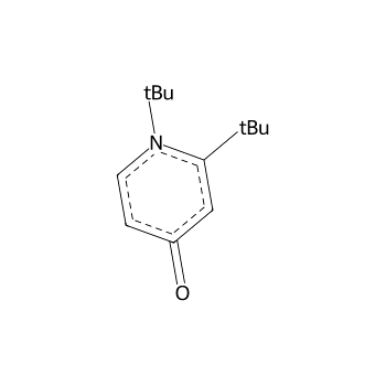 CC(C)(C)c1cc(=O)ccn1C(C)(C)C